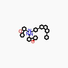 c1ccc(-c2ccc3ccc4ccc(-c5ccc(-c6nc(-c7cccc8oc9ccccc9c78)nc(-c7cccc8oc9ccccc9c78)n6)cc5)cc4c3c2)cc1